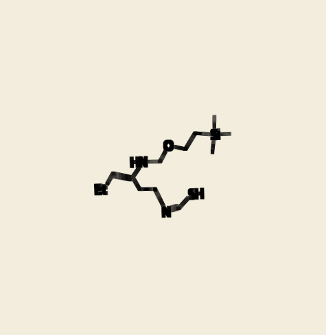 CC/C=C(\CC/N=C\S)NCOCC[Si](C)(C)C